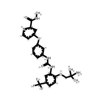 CNC(=O)c1cc(Oc2cccc(NC(=O)Nc3cc(C(F)(F)F)ccc3OCC(C)(C)N)c2)ccn1